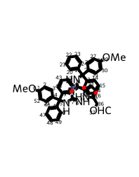 COc1ccc(C(NC(=N)/N=C(/NC(c2ccccc2)(c2ccccc2)c2ccc(OC)cc2)c2ccc(CC=O)[nH]2)(c2ccccc2)c2ccccc2)cc1